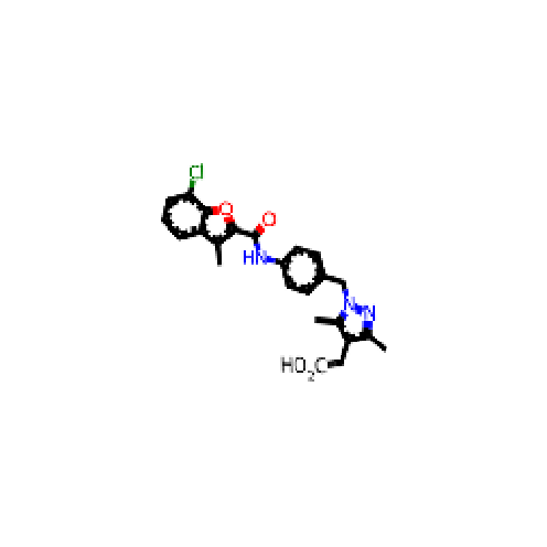 Cc1nn(Cc2ccc(NC(=O)c3oc4c(Cl)cccc4c3C)cc2)c(C)c1CC(=O)O